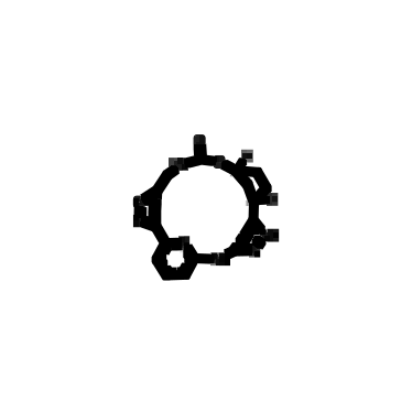 O=C1NCc2cc(no2)-c2cccc(n2)Nc2cc([nH]n2)[C@H]2CC[C@H](C2)O1